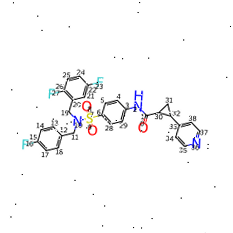 O=C(Nc1ccc(S(=O)(=O)N(Cc2ccc(F)cc2)Cc2cc(F)ccc2F)cc1)C1CC1c1ccncc1